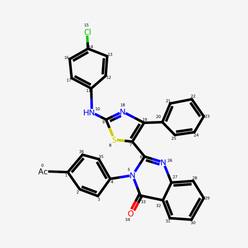 CC(=O)c1ccc(-n2c(-c3sc(Nc4ccc(Cl)cc4)nc3-c3ccccc3)nc3ccccc3c2=O)cc1